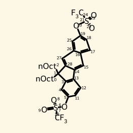 CCCCCCCCC1(CCCCCCCC)c2cc(OS(=O)(=O)C(F)(F)F)ccc2-c2cc3ccc(OS(=O)(=O)C(F)(F)F)cc3cc21